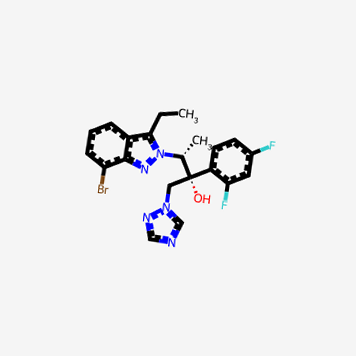 CCc1c2cccc(Br)c2nn1[C@H](C)[C@](O)(Cn1cncn1)c1ccc(F)cc1F